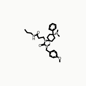 CCCNC(=O)CCN1C(=O)N(Cc2ccc(OC)cc2)C[C@]12CC[C@](c1ccccc1)(N(C)C)CC2